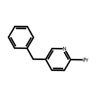 CC(C)c1ccc(Cc2ccccc2)cn1